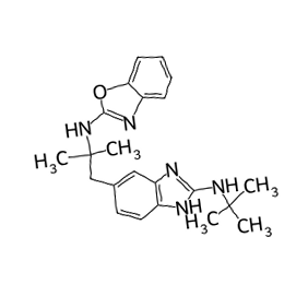 CC(C)(C)Nc1nc2cc(CC(C)(C)Nc3nc4ccccc4o3)ccc2[nH]1